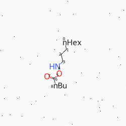 CCCCCCCCCNOC(=O)CCCC